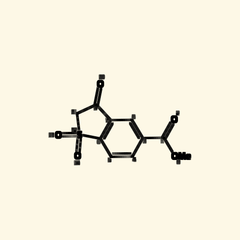 COC(=O)c1ccc2c(c1)C(=O)CS2(=O)=O